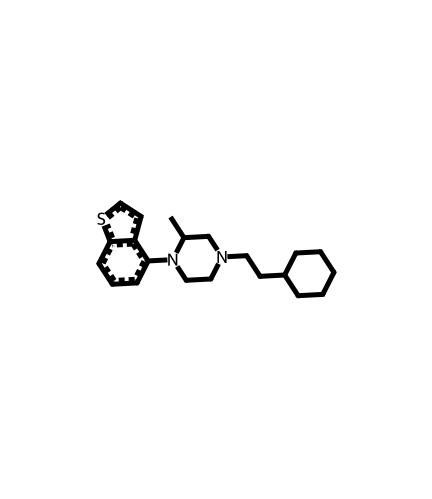 CC1CN(CCC2CCCCC2)CCN1c1cccc2sccc12